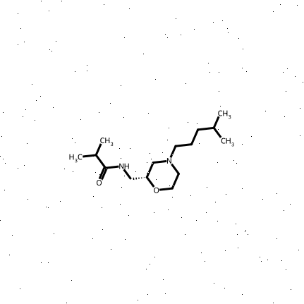 CC(C)CCCN1CCO[C@H](CNC(=O)C(C)C)C1